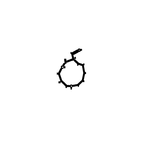 O=[C]N1CCCCCCCCCCS1